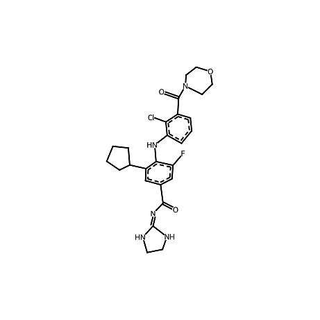 O=C(N=C1NCCN1)c1cc(F)c(Nc2cccc(C(=O)N3CCOCC3)c2Cl)c(C2CCCC2)c1